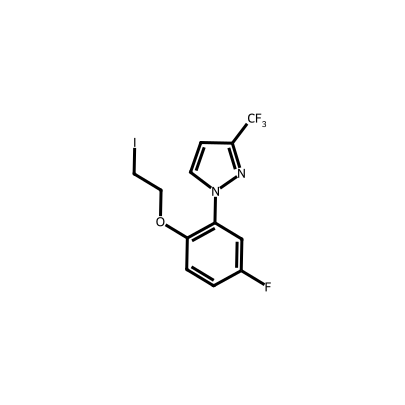 Fc1ccc(OCCI)c(-n2ccc(C(F)(F)F)n2)c1